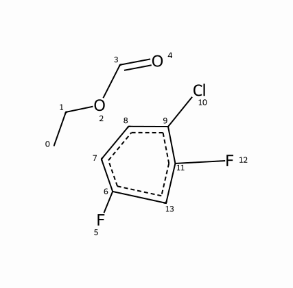 CCOC=O.Fc1ccc(Cl)c(F)c1